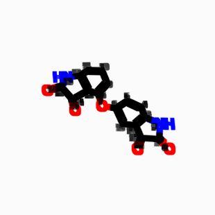 O=C1Nc2ccc(Oc3cccc4c3C(=O)C(=O)N4)cc2C1=O